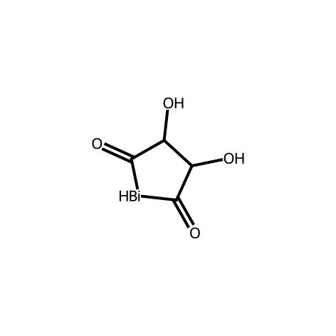 O=[C]1[BiH][C](=O)C(O)C1O